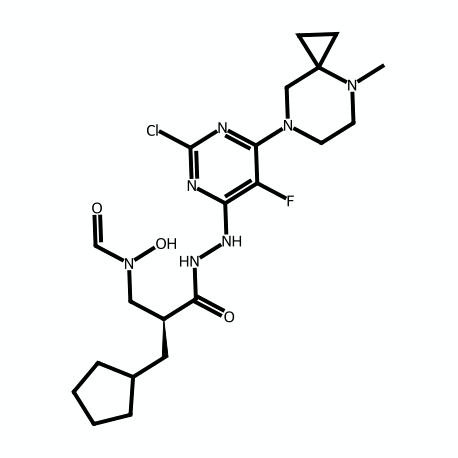 CN1CCN(c2nc(Cl)nc(NNC(=O)[C@@H](CC3CCCC3)CN(O)C=O)c2F)CC12CC2